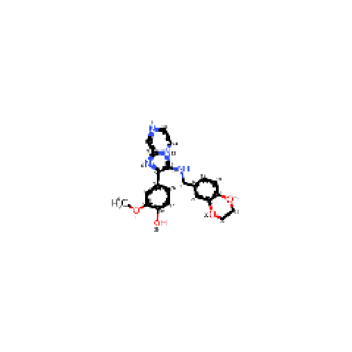 COc1cc(-c2nc3cnccn3c2NCc2ccc3c(c2)OCCO3)ccc1O